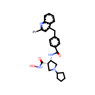 CC(C)c1cc(Cc2ccc(C(=O)N[C@@H]3CN(C4CCCC4)C[C@@H]3C(=O)NO)cc2)c2ccccc2n1